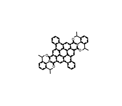 CC(C)c1cccc(C(C)C)c1-n1c(=O)c2cc3c4ccccc4c4cc5c(=O)n(-c6c(C(C)C)cccc6C(C)C)c(=O)c6cc7c8ccccc8c8cc(c1=O)c2c1c3c4c(c56)c7c81